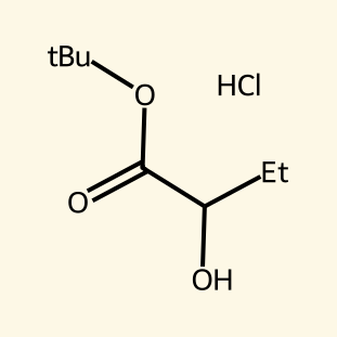 CCC(O)C(=O)OC(C)(C)C.Cl